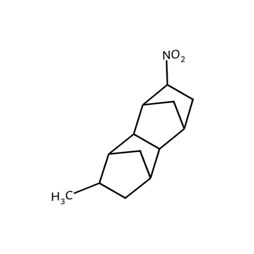 CC1CC2CC1C1C3CC(CC3[N+](=O)[O-])C21